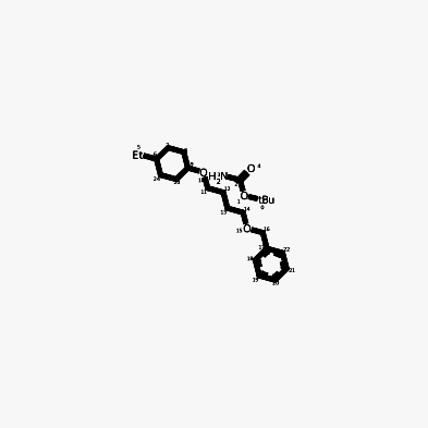 CC(C)(C)OC(N)=O.CCC1CCC(OCCCCOCc2ccccc2)CC1